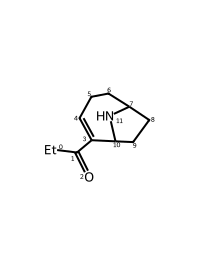 CCC(=O)C1=CCCC2CCC1N2